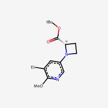 CCc1cc(N2CC[C@H]2C(=O)OC(C)(C)C)cnc1OC